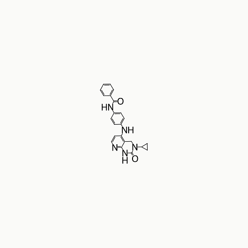 O=C(Nc1ccc(Nc2ccnc3c2CN(C2CC2)C(=O)N3)cc1)c1ccccc1